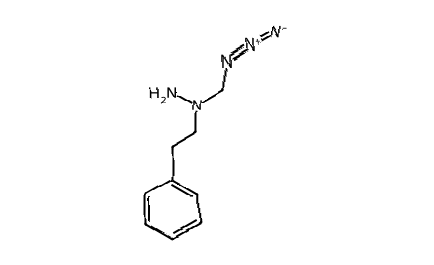 [N-]=[N+]=NCN(N)CCc1ccccc1